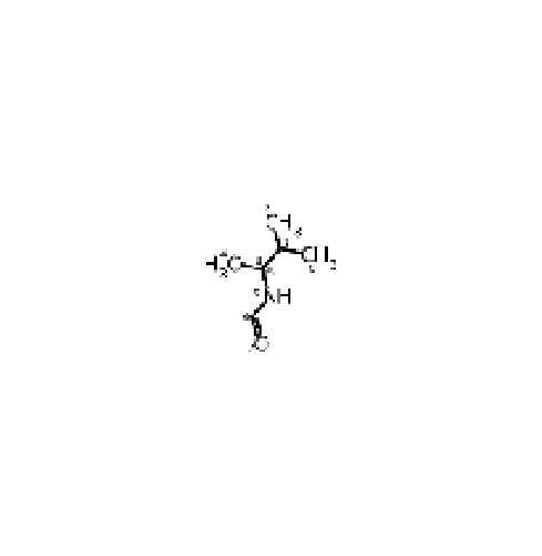 CC(C)[C@H](C)NC=O